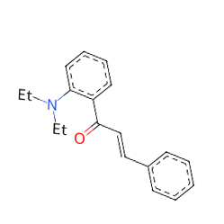 CCN(CC)c1ccccc1C(=O)C=Cc1ccccc1